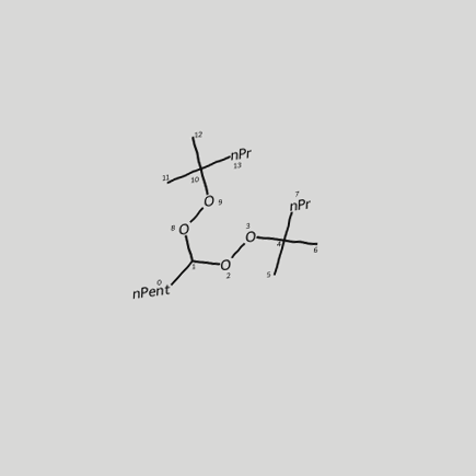 CCCCCC(OOC(C)(C)CCC)OOC(C)(C)CCC